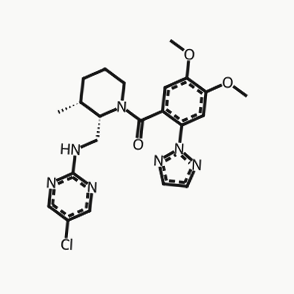 COc1cc(C(=O)N2CCC[C@@H](C)[C@H]2CNc2ncc(Cl)cn2)c(-n2nccn2)cc1OC